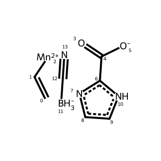 C=[CH][Mn+2].O=C([O-])c1ncc[nH]1.[BH3-]C#N